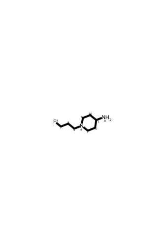 NC1CCN(CCCF)CC1